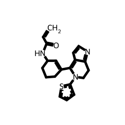 C=CC(=O)NC1C=C(C2=C3C=CN=C3CCN2c2cccs2)CCC1